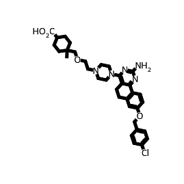 CC1(COCCN2CCN(c3nc(N)nc4c3CCc3cc(OCc5ccc(Cl)cc5)ccc3-4)CC2)CCC(C(=O)O)CC1